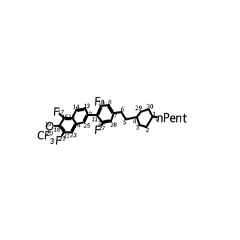 CCCCCC1CCC(CCc2cc(F)c(-c3ccc4c(F)c(OC(F)(F)F)c(F)cc4c3)c(F)c2)CC1